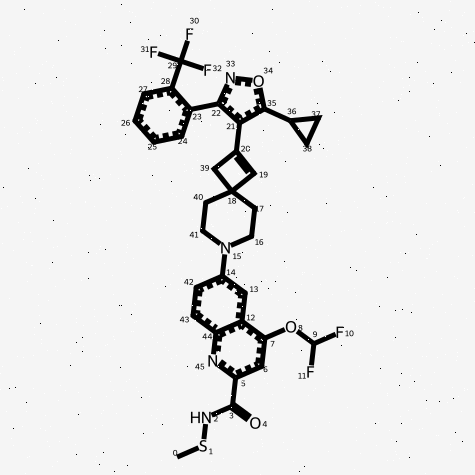 CSNC(=O)c1cc(OC(F)F)c2cc(N3CCC4(C=C(c5c(-c6ccccc6C(F)(F)F)noc5C5CC5)C4)CC3)ccc2n1